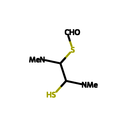 CNC(S)C(NC)SC=O